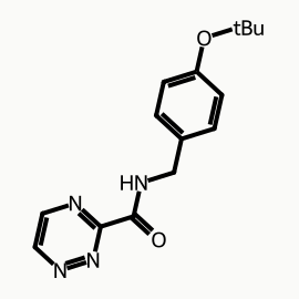 CC(C)(C)Oc1ccc(CNC(=O)c2nccnn2)cc1